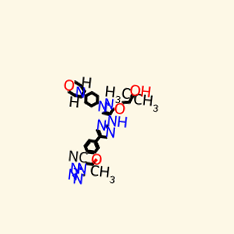 C[C@@H](Cn1cnnn1)Oc1cc(-c2cnc(Nc3cn([C@H]4CC[C@H](N5[C@@H]6CC[C@H]5COC6)CC4)nc3OCCC(C)(C)O)nc2)ccc1C#N